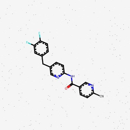 N#Cc1ccc(C(=O)Nc2ccc(Cc3ccc(F)c(F)c3)cn2)cn1